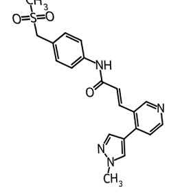 Cn1cc(-c2ccncc2C=CC(=O)Nc2ccc(CS(C)(=O)=O)cc2)cn1